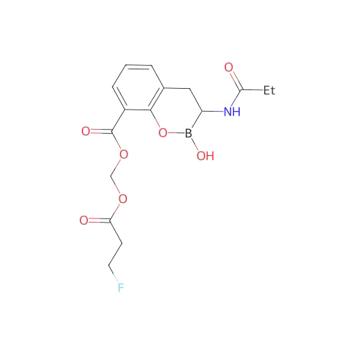 CCC(=O)NC1Cc2cccc(C(=O)OCOC(=O)CCF)c2OB1O